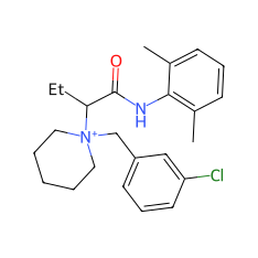 CCC(C(=O)Nc1c(C)cccc1C)[N+]1(Cc2cccc(Cl)c2)CCCCC1